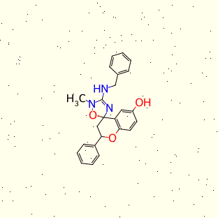 CN1OC2(CC(c3ccccc3)Oc3ccc(O)cc32)N=C1NCc1ccccc1